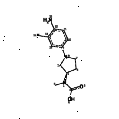 CN(C(=O)O)[C@@H]1CCN(c2ccc(N)c(F)c2)C1